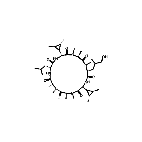 CC(C)C[C@H]1NC(=O)[C@@H](C)N(C)C(=O)[C@H](C)N(C)C(=O)[C@H](C2[C@@H](C)[C@@H]2C)NC(=O)[C@H](CC(C)CO)N(C)C(=O)[C@H](C)N(C)C(=O)[C@@H](C2[C@@H](C)[C@@H]2C)NC1=O